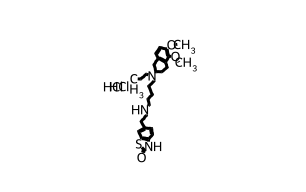 CCCN(CCCCCNCCc1ccc2[nH]c(=O)sc2c1)[C@H]1CCc2c(ccc(OC)c2OC)C1.Cl.Cl